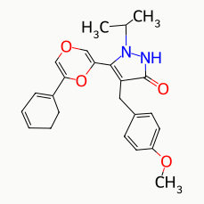 COc1ccc(Cc2c(C3=COC=C(C4=CC=CCC4)O3)n(C(C)C)[nH]c2=O)cc1